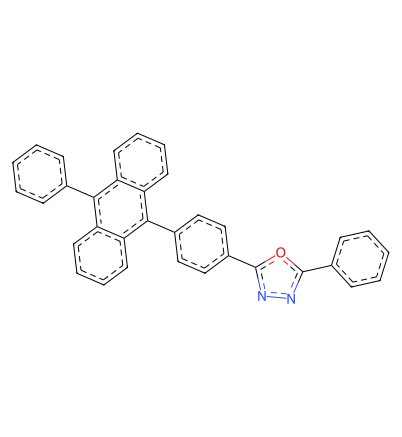 c1ccc(-c2nnc(-c3ccc(-c4c5ccccc5c(-c5ccccc5)c5ccccc45)cc3)o2)cc1